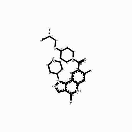 Cc1cc2[nH]c(=O)c3cnn(C4CCOCC4)c3c2cc1C(=O)N1CCC(OC[C@@H](C)F)CC1